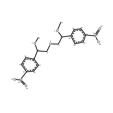 COC(COCC(OC)c1ccc([N+](=O)[O-])cc1)c1ccc([N+](=O)[O-])cc1